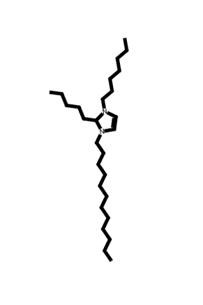 CCCCCCCCCCCCN1C=CN(CCCCCCC)C1CCCCC